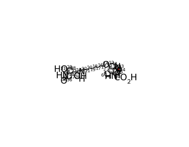 O=C(O)NC(c1ccccc1)(c1cccc(OCCCCCCCCNC[C@H](O)c2ccc(O)c3[nH]c(=O)ccc23)c1)[C@H]1CN2CCC1CC2